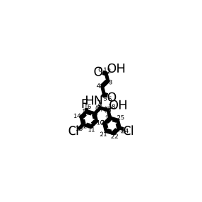 O=C(O)C=CC(=O)N[C@H](c1ccc(Cl)cc1F)[C@@H](O)c1cccc(Cl)c1